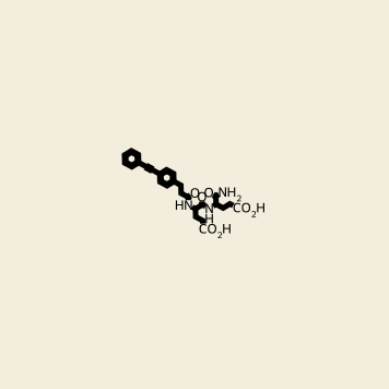 NC(=O)C(CCC(=O)O)NC(=O)C(CCC(=O)O)NC(=O)CCc1ccc(C#Cc2ccccc2)cc1